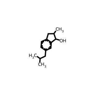 CC(C)Cc1ccc2c(c1)C(O)C(C)C2